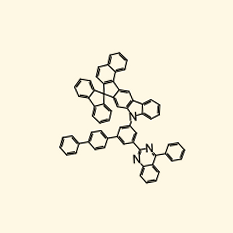 c1ccc(-c2ccc(-c3cc(-c4nc(-c5ccccc5)c5ccccc5n4)cc(-n4c5ccccc5c5cc6c(cc54)C4(c5ccccc5-c5ccccc54)c4ccc5ccccc5c4-6)c3)cc2)cc1